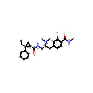 CC[C@@]1(c2ccccc2)C[C@H]1C(=O)NC[C@H](Cc1ccc(C(=O)NC)c(F)c1)N(C)C